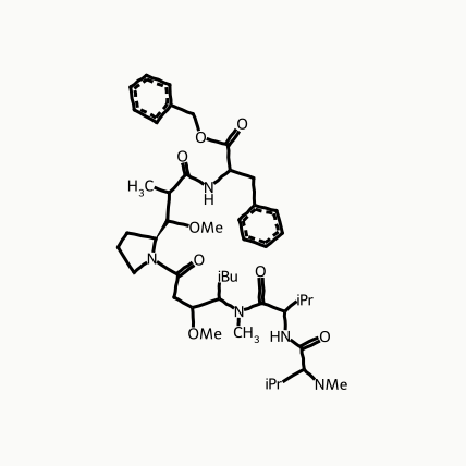 CCC(C)C(C(CC(=O)N1CCC[C@H]1C(OC)C(C)C(=O)NC(Cc1ccccc1)C(=O)OCc1ccccc1)OC)N(C)C(=O)C(NC(=O)C(NC)C(C)C)C(C)C